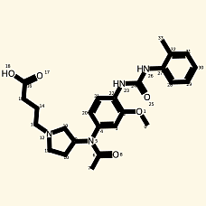 COc1cc(N(C(C)=O)C2CCN(CCCC(=O)O)C2)ccc1NC(=O)Nc1ccccc1C